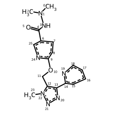 CN(C)NC(=O)c1ccc(OCc2c(-c3ccccn3)nnn2C)nc1